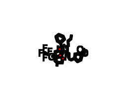 CCCCn1c(-c2ccccc2)nc(-c2ccc(C)cc2)c1CN(Cc1cccc(OC(F)(F)C(F)F)c1)Cc1ccc2c(c1)OCO2